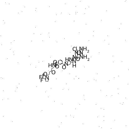 Nc1nc(N)c(C(=O)/N=C2\NCC3(CCN(C(=O)c4cccc(S(=O)(=O)NCCC(=O)CCC(=O)N5CCCC5C(F)(F)F)c4)CC3)N2)nc1Cl